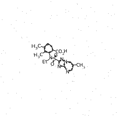 CCN(c1c(C(=O)O)ccc(C)c1C)S(=O)(=O)c1nc2ncc(C)cn2n1